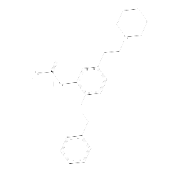 Br.NC(=O)Nc1cc(CCN2CCCCC2)ccc1OCc1ccccc1